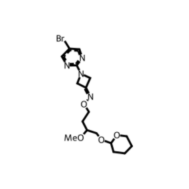 COC(CCON=C1CN(c2ncc(Br)cn2)C1)COC1CCCCO1